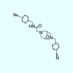 N#Cc1ccc(CNC(=O)CN2CC3CN(Cc4ccc(C#N)cc4)CC(C2)O3)cc1